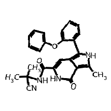 Cc1[nH]c(-c2ccccc2Oc2ccccc2)c2cc(C(=O)NC(C)(C)C#N)[nH]c(=O)c12